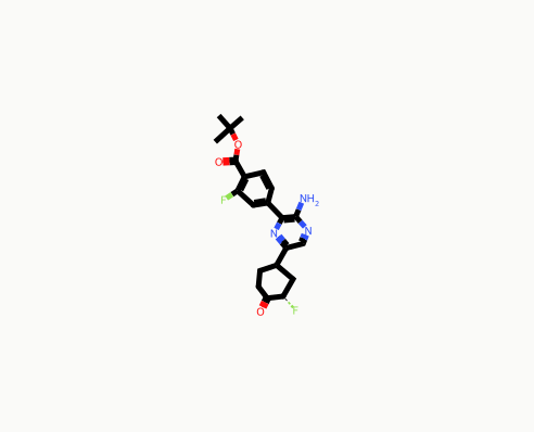 CC(C)(C)OC(=O)c1ccc(-c2nc(C3CCC(=O)[C@@H](F)C3)cnc2N)cc1F